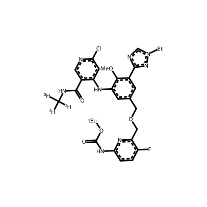 [2H]C([2H])([2H])NC(=O)c1cnc(Cl)cc1Nc1cc(COCc2nc(NC(=O)OC(C)(C)C)ccc2F)cc(-c2ncn(CC)n2)c1OC